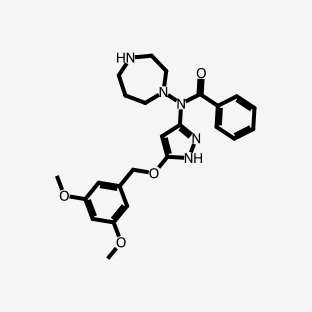 COc1cc(COc2cc(N(C(=O)c3ccccc3)N3CCCNCC3)n[nH]2)cc(OC)c1